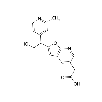 Cc1cc(C(CO)c2cc3cc(CC(=O)O)cnc3o2)ccn1